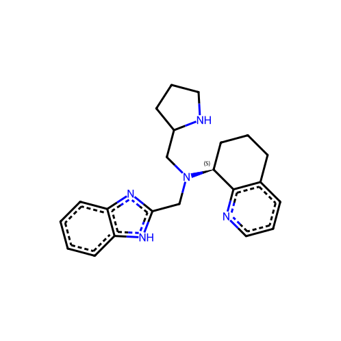 c1cnc2c(c1)CCC[C@@H]2N(Cc1nc2ccccc2[nH]1)CC1CCCN1